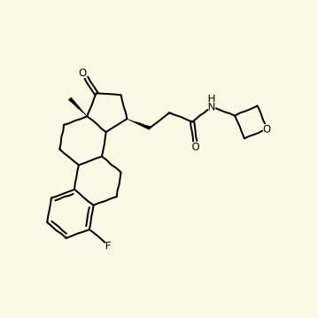 C[C@]12CCC3c4cccc(F)c4CCC3C1[C@H](CCC(=O)NC1COC1)CC2=O